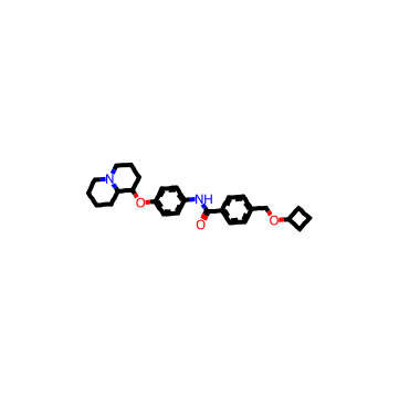 O=C(Nc1ccc(OC2CCCN3CCCCC23)cc1)c1ccc(COC2CCC2)cc1